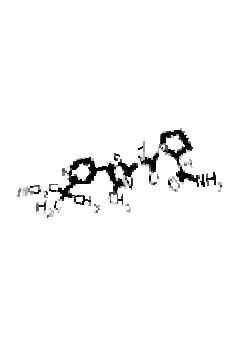 Cc1nc(NC(=O)N2CCC[C@H]2C(N)=O)sc1-c1ccnc(C(C)(C)C(=O)O)c1